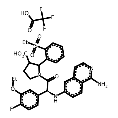 CCOc1cc([C@H](Nc2ccc3c(N)nccc3c2)C(=O)N2CCC(C(=O)O)C2c2ccccc2S(=O)(=O)CC)ccc1F.O=C(O)C(F)(F)F